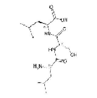 CC(C)C[C@H](NC(=O)[C@H](CO)NC(=O)[C@@H](N)CC(C)C)C(=O)O